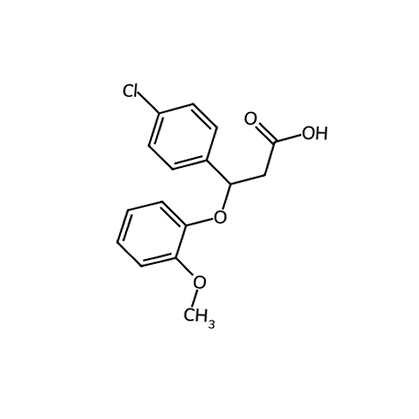 COc1ccccc1OC(CC(=O)O)c1ccc(Cl)cc1